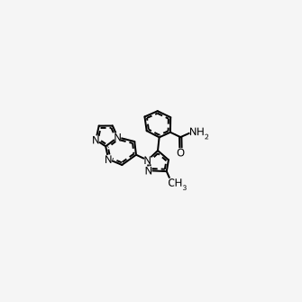 Cc1cc(-c2ccccc2C(N)=O)n(-c2cnc3nccn3c2)n1